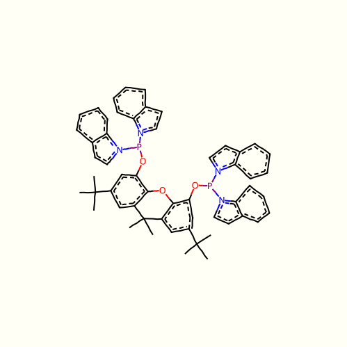 CC(C)(C)c1cc(OP(n2ccc3ccccc32)n2ccc3ccccc32)c2c(c1)C(C)(C)c1cc(C(C)(C)C)cc(OP(n3ccc4ccccc43)n3ccc4ccccc43)c1O2